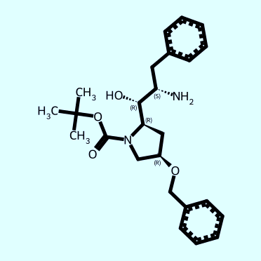 CC(C)(C)OC(=O)N1C[C@H](OCc2ccccc2)C[C@@H]1[C@H](O)[C@@H](N)Cc1ccccc1